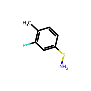 Cc1ccc(SN)cc1F